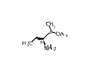 CC[C@H](N)B(C)C